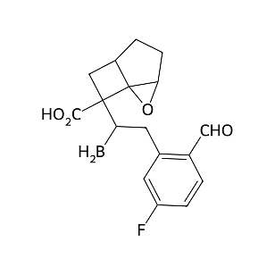 BC(Cc1cc(F)ccc1C=O)C1(C(=O)O)CC2CCC3OC231